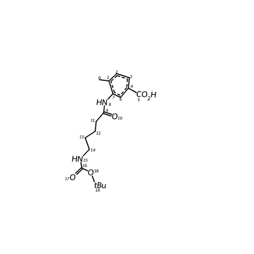 Cc1ccc(C(=O)O)cc1NC(=O)CCCCNC(=O)OC(C)(C)C